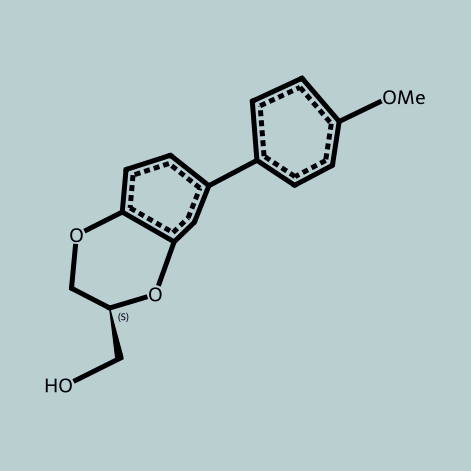 COc1ccc(-c2ccc3c(c2)O[C@@H](CO)CO3)cc1